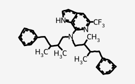 CC(Cc1ccccc1)C(C)CN(CC(C)C(C)Cc1ccccc1)c1nc(C(F)(F)F)cc2cc[nH]c12